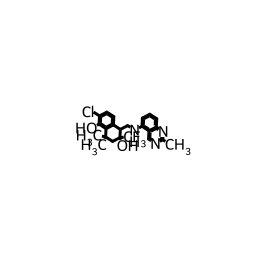 Cc1ncc2c(NCC3c4ccc(Cl)c(O)c4C(C)(C)CC3(O)C(F)(F)F)cccc2n1